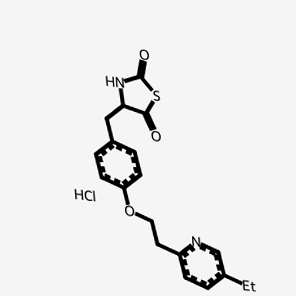 CCc1ccc(CCOc2ccc(CC3NC(=O)SC3=O)cc2)nc1.Cl